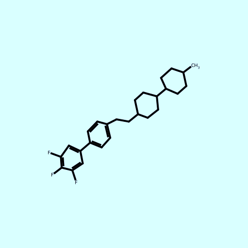 CC1CCC(C2CCC(CCc3ccc(-c4cc(F)c(F)c(F)c4)cc3)CC2)CC1